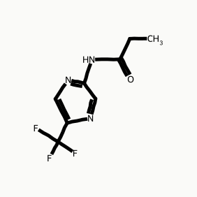 CCC(=O)Nc1cnc(C(F)(F)F)cn1